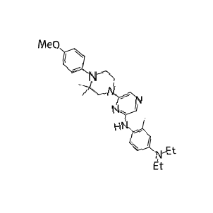 CCN(CC)c1ccc(Nc2cncc(N3CCN(c4ccc(OC)cc4)C(C)(C)C3)n2)c(C)c1